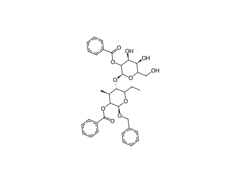 CCC1O[C@@H](OCc2ccccc2)C(OC(=O)c2ccccc2)[C@@H](C)[C@@H]1O[C@@H]1OC(CO)[C@H](O)[C@H](O)C1OC(=O)c1ccccc1